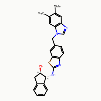 COc1cc2ncn(Cc3ccc4nc(N[C@@H]5c6ccccc6C[C@H]5O)sc4c3)c2cc1OC